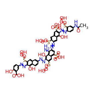 CC(=O)Nc1ccc(N=Nc2c(S(=O)(=O)O)cc3cc(SOOO)c(N=Nc4cc(S(=O)(=O)O)c5cc(SOOO)c(N=Nc6ccc7c(O)c(N=Nc8ccc(O)c(C(=O)O)c8)c(SOOO)cc7c6)c(O)c5c4N)cc3c2O)c(SOOO)c1